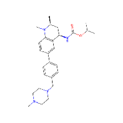 CC(C)OC(=O)N[C@@H]1C[C@H](C)N(C)c2ccc(-c3ccc(CN4CCN(C)CC4)cc3)cc21